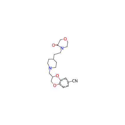 N#Cc1ccc2c(c1)OC(CN1CCC(CCN3CCOCC3=O)CC1)CO2